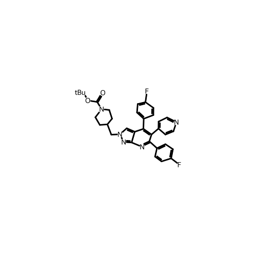 CC(C)(C)OC(=O)N1CCC(Cn2cc3c(-c4ccc(F)cc4)c(-c4ccncc4)c(-c4ccc(F)cc4)nc3n2)CC1